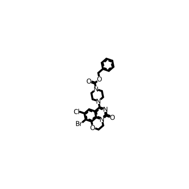 O=C(OCc1ccccc1)N1CCN(c2nc(=O)n3c4c(c(Br)c(Cl)cc24)OCC3)CC1